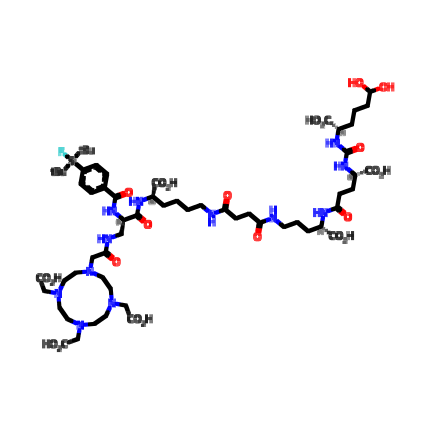 CC(C)(C)[Si](F)(c1ccc(C(=O)N[C@H](CNC(=O)CN2CCN(CC(=O)O)CCN(CC(=O)O)CCN(CC(=O)O)CC2)C(=O)N[C@H](CCCCNC(=O)CCC(=O)NCCC[C@H](NC(=O)CC[C@H](NC(=O)N[C@@H](CCCC(O)O)C(=O)O)C(=O)O)C(=O)O)C(=O)O)cc1)C(C)(C)C